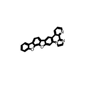 c1ccc2c(c1)oc1c2ccc2c3cc4c5cccnc5c5nccn5c4cc3oc21